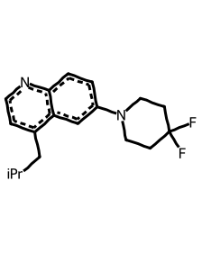 CC(C)Cc1ccnc2ccc(N3CCC(F)(F)CC3)cc12